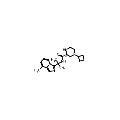 Cc1cccn2c(C(C)(C)NC(=O)[C@@H]3CN(C4COC4)CCN3)ncc12